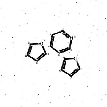 c1ccncc1.c1ccoc1.c1ccoc1